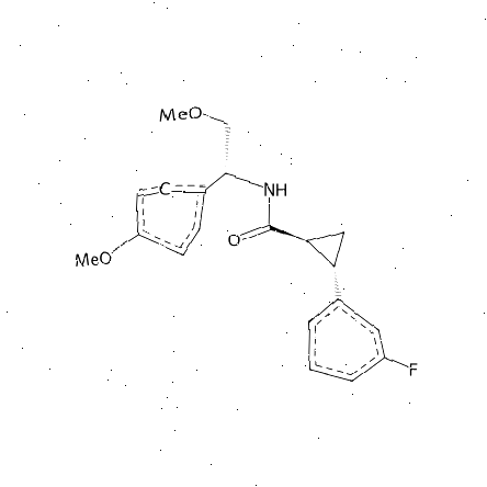 COC[C@H](NC(=O)[C@H]1C[C@@H]1c1cccc(F)c1)c1ccc(OC)cc1